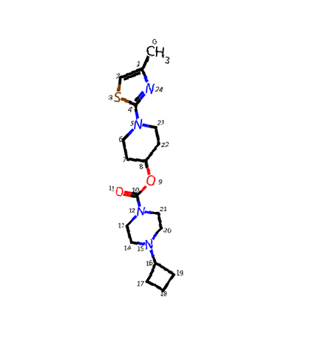 Cc1csc(N2CCC(OC(=O)N3CCN(C4CCC4)CC3)CC2)n1